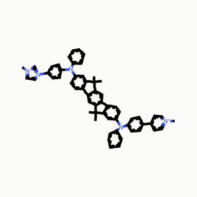 C[n+]1ccc(-c2ccc(N(c3ccccc3)c3ccc4c(c3)C(C)(C)c3cc5c(cc3-4)C(C)(C)c3cc(N(c4ccccc4)c4ccc(-n6cc[n+](C)c6)cc4)ccc3-5)cc2)cc1